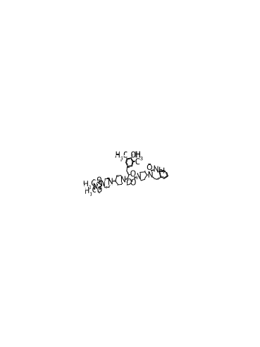 Cc1cc(CC(OC(=O)N2CCC(N3CCc4ccccc4NC3=O)CC2)C(=O)N2CCC(N3CCN(S(=O)(=O)N(C)C)CC3)CC2)cc(C)c1O